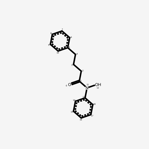 O=C(CCCc1ccccc1)N(O)c1ccccc1